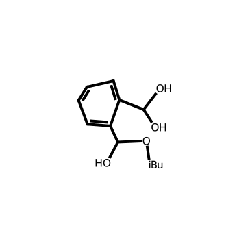 CCC(C)OC(O)c1ccccc1C(O)O